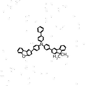 CC1(C)c2ccccc2-c2cc(-c3ccc(N(c4ccc(-c5ccccc5)cc4)c4ccc(-c5ccc6oc7ccccc7c6c5)cc4)cc3)ccc21